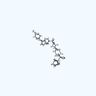 O=C(c1ccc2c(ccn2-c2ccc(F)cc2)n1)N1CC(N2CCN(C(=O)c3nccs3)CC2)C1